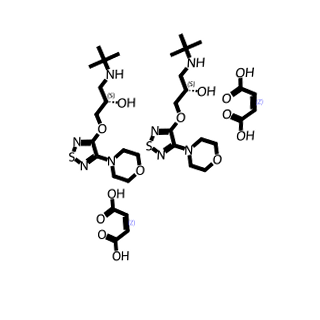 CC(C)(C)NC[C@H](O)COc1nsnc1N1CCOCC1.CC(C)(C)NC[C@H](O)COc1nsnc1N1CCOCC1.O=C(O)/C=C\C(=O)O.O=C(O)/C=C\C(=O)O